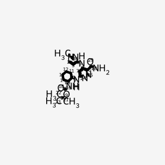 Cn1ccc(Nc2cc(N[C@@H]3CCCC[C@@H]3NC(=O)OC(C)(C)C)nnc2C(N)=O)n1